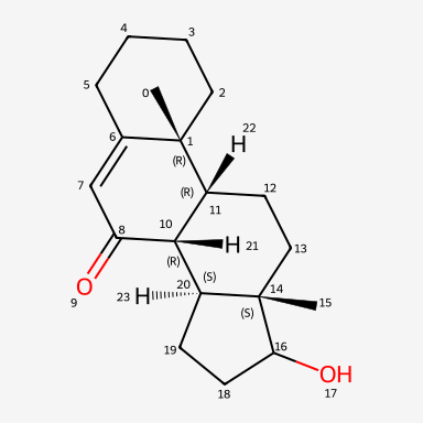 C[C@]12CCCCC1=CC(=O)[C@@H]1[C@H]2CC[C@]2(C)C(O)CC[C@@H]12